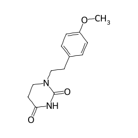 COc1ccc(CCN2CCC(=O)NC2=O)cc1